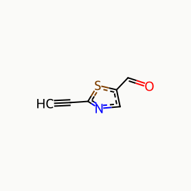 C#Cc1ncc(C=O)s1